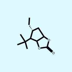 CC[C@@H]1CC2OC(=O)OC2C1C(C)(C)C